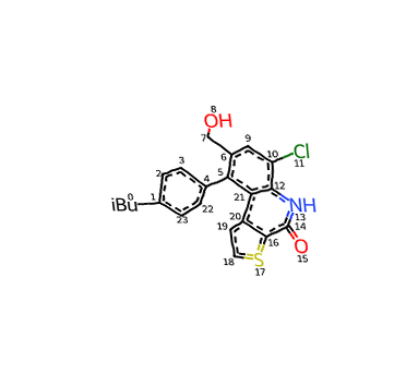 CCC(C)c1ccc(-c2c(CO)cc(Cl)c3[nH]c(=O)c4sccc4c23)cc1